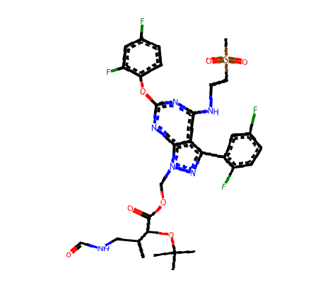 CC(CNC=O)C(OC(C)(C)C)C(=O)OCn1nc(-c2cc(F)ccc2F)c2c(NCCS(C)(=O)=O)nc(Oc3ccc(F)cc3F)nc21